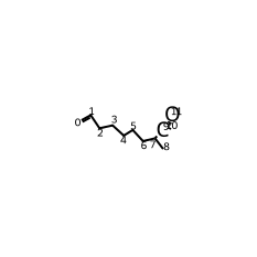 C=CCCCCCC(C)C[C]=O